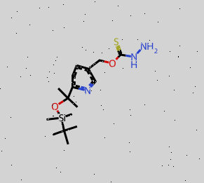 CC(C)(O[Si](C)(C)C(C)(C)C)c1ccc(COC(=S)NN)cn1